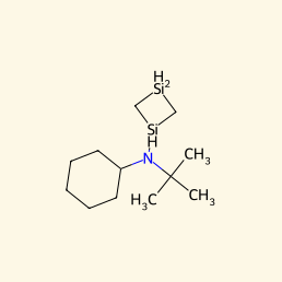 CC(C)(C)N(C1CCCCC1)[SiH]1C[SiH2]C1